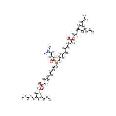 CCCCCC(CCCCC)CCCOC(=O)CCCCCCCCCP(CCCCCCCCCC(=O)OCCCC(CCCCC)CCCCC)C(=O)CCCN(C)C